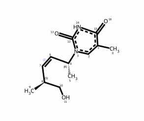 Cc1cn([C@H](C)/C=C\[C@H](C)CO)c(=O)[nH]c1=O